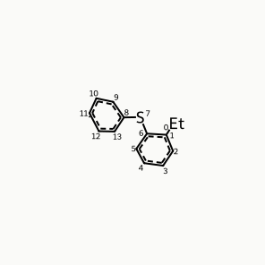 CCc1ccccc1Sc1cc[c]cc1